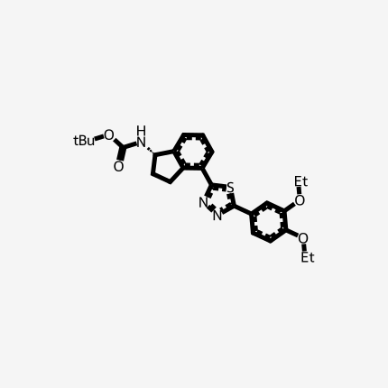 CCOc1ccc(-c2nnc(-c3cccc4c3CC[C@@H]4NC(=O)OC(C)(C)C)s2)cc1OCC